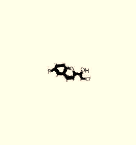 OC(CCl)C1C=Cc2cc(F)ccc2O1